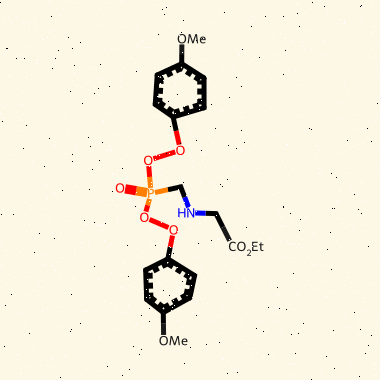 CCOC(=O)CNCP(=O)(OOc1ccc(OC)cc1)OOc1ccc(OC)cc1